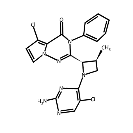 C[C@H]1CN(c2nc(N)ncc2Cl)[C@@H]1c1nn2ccc(Cl)c2c(=O)n1-c1ccccc1